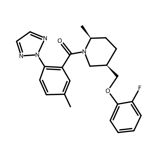 Cc1ccc(-n2nccn2)c(C(=O)N2C[C@H](COc3ccccc3F)CC[C@@H]2C)c1